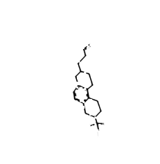 C=CCCC1CCc2c(ccc3c2CCC(C(F)(F)F)C3)C1